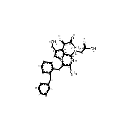 CCc1cn2c(Cc3ccccc3Cc3ccccc3)c(C)nc(OCC(=O)O)c2c1C(=O)C(N)=O